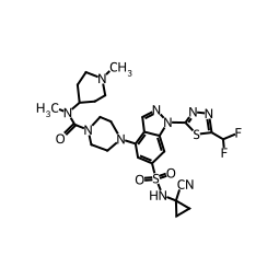 CN1CCC(N(C)C(=O)N2CCN(c3cc(S(=O)(=O)NC4(C#N)CC4)cc4c3cnn4-c3nnc(C(F)F)s3)CC2)CC1